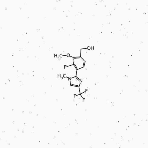 COc1c(CO)ccc(-c2nc(C(F)(F)F)cn2C)c1F